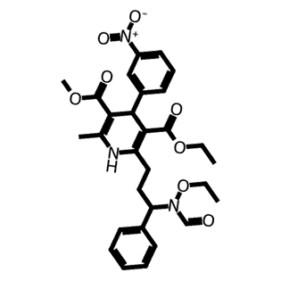 CCOC(=O)C1=C(CCC(c2ccccc2)N(C=O)OCC)NC(C)=C(C(=O)OC)C1c1cccc([N+](=O)[O-])c1